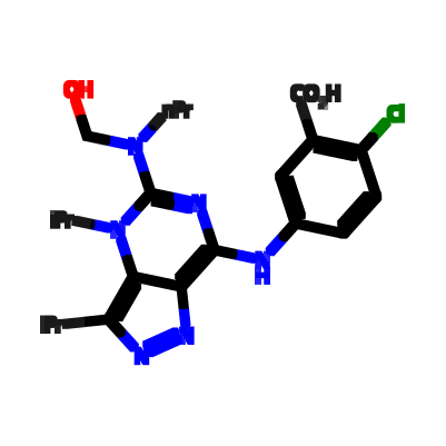 CCCN(CO)c1nc(Nc2ccc(Cl)c(C(=O)O)c2)c2nnc(C(C)C)c-2n1C(C)C